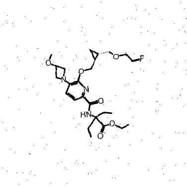 CCOC(=O)C(CC)(CC)NC(=O)c1ccc(N2CC(OC)C2)c(OC[C@H]2C[C@@H]2COCCF)n1